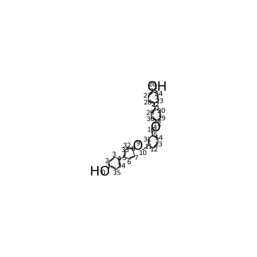 Oc1ccc(-c2ccc(OCc3cccc(COc4ccc(-c5ccc(O)cc5)cc4)c3)cc2)cc1